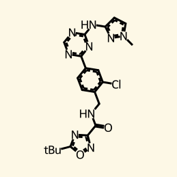 Cn1ccc(Nc2ncnc(-c3ccc(CNC(=O)c4noc(C(C)(C)C)n4)c(Cl)c3)n2)n1